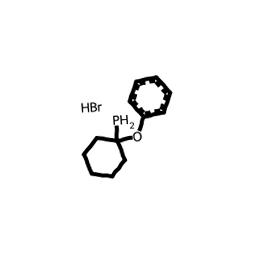 Br.PC1(Oc2ccccc2)CCCCC1